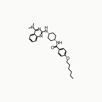 CCCCCCOc1ccc(C(=O)N[C@H]2CC[C@@H](Nc3nc(N(C)C)c4ccccc4n3)CC2)cc1